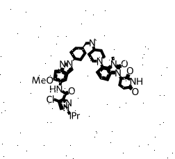 COc1cc2nn([C@H]3CC[C@H](CN(C)C4CCN(c5cccc6c5n(C)c(=O)n6C5CCC(=O)NC5=O)CC4)CC3)cc2cc1NC(=O)c1nn(C(C)C)cc1Cl